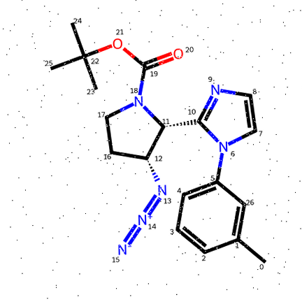 Cc1cccc(-n2ccnc2[C@@H]2[C@H](N=[N+]=[N-])CCN2C(=O)OC(C)(C)C)c1